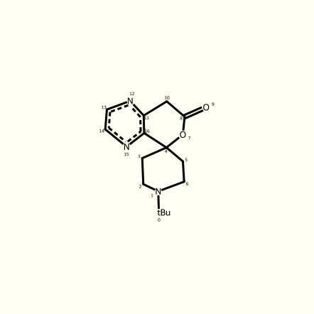 CC(C)(C)N1CCC2(CC1)OC(=O)Cc1nccnc12